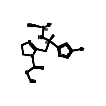 CC(C)(C)OC(=O)N1CCN=C1C[C@](C)(N[S@+]([O-])C(C)(C)C)c1cc(Br)cs1